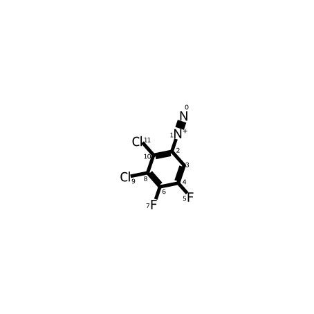 N#[N+]c1cc(F)c(F)c(Cl)c1Cl